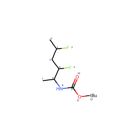 CC(F)CC(F)C(C)NC(=O)OC(C)(C)C